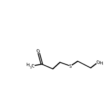 CC(=O)CCSCCO